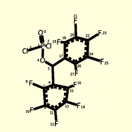 O=P(Cl)(Cl)OC(c1c(F)c(F)c(F)c(F)c1F)c1c(F)c(F)c(F)c(F)c1F